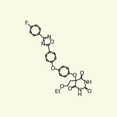 CCOCCC1(Oc2ccc(Oc3ccc(-c4nc(-c5ccc(F)cc5)no4)cc3)cc2)C(=O)NC(=O)NC1=O